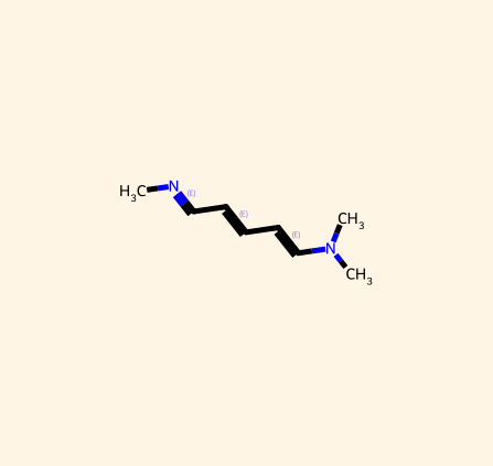 C/N=C/C=C/C=C/N(C)C